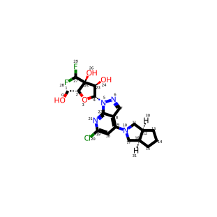 OC[C@H]1O[C@@H](n2ncc3c(N4C[C@H]5CCC[C@H]5C4)cc(Cl)nc32)[C@H](O)[C@@]1(O)C(F)F